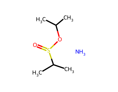 CC(C)OS(=O)C(C)C.N